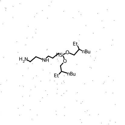 CCCCC(CC)CO[SiH](CCCNCCN)OCC(CC)CCCC